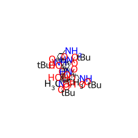 CN(C(=O)OC(C)(C)C)[C@@H]1[C@@H](O)[C@@H](O[C@H]2[C@H](NC(=O)[C@@H](O)CCNC(=O)OC(C)(C)C)C[C@H](NC(=O)OC(C)(C)C)C([C@H]3OC(CN)=CC[C@H]3NC(=O)OC(C)(C)C)[C@@H]2O)OC[C@]1(C)O